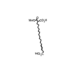 COC(=O)C(CCCCCCCCCCCCCCCCC(=O)O)C(=O)O